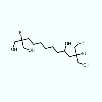 CCC(CO)(CO)CCCCCCC(O)CC(CC)(CO)CO